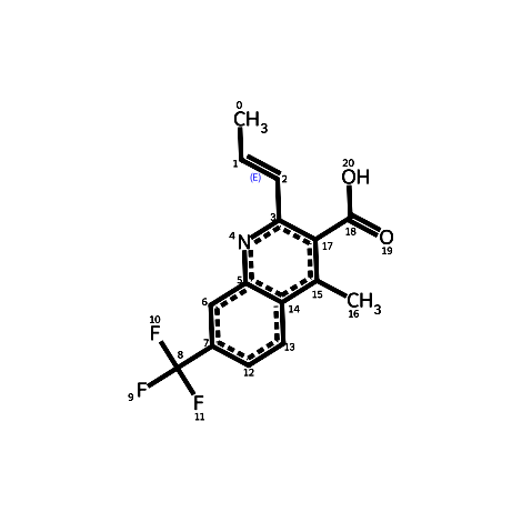 C/C=C/c1nc2cc(C(F)(F)F)ccc2c(C)c1C(=O)O